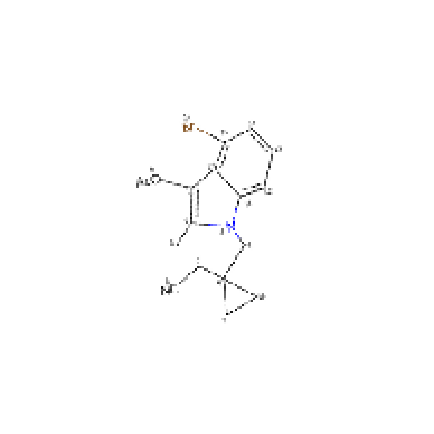 CC(=O)Oc1c(C)n(CC2(CC#N)CC2)c2cccc(Br)c12